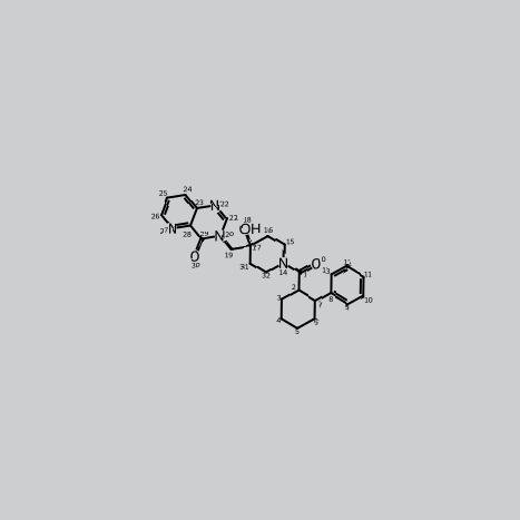 O=C(C1CCCCC1c1ccccc1)N1CCC(O)(Cn2cnc3cccnc3c2=O)CC1